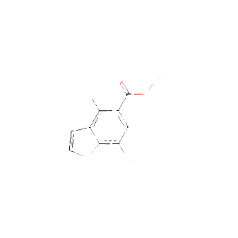 COC(=O)c1cc(Br)c2occc2c1C